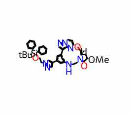 CO[C@@H]1C[C@H]2COc3ccn4ncc(c4n3)-c3cc(cc(-c4cnn(CCO[Si](c5ccccc5)(c5ccccc5)C(C)(C)C)c4)c3)NCCN2C1=O